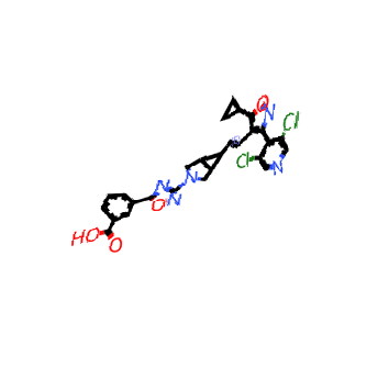 O=C(O)c1cccc(-c2nc(N3CC4C(/C=C/c5c(-c6c(Cl)cncc6Cl)noc5C5CC5)C4C3)no2)c1